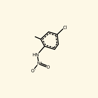 Cc1cc(Cl)ccc1N[N+](=O)[O-]